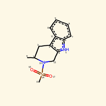 CC1Cc2c([nH]c3ccccc23)CN1S(C)(=O)=O